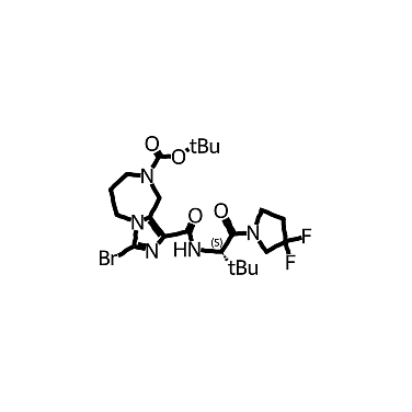 CC(C)(C)OC(=O)N1CCCn2c(Br)nc(C(=O)N[C@H](C(=O)N3CCC(F)(F)C3)C(C)(C)C)c2C1